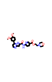 COc1ccc(-c2ccnc3cc(C(=O)Nc4ccc(C(=O)OCCN5CCOCC5)cn4)nn23)cc1OC